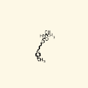 CC(C)NC(=O)COCCCCCN1CCN(C)CC1